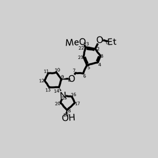 CCOc1ccc(CCO[C@@H]2CCCC[C@H]2N2CC[C@@H](O)C2)cc1OC